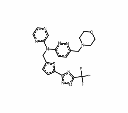 FC(F)(F)c1nc(-c2ccc(CN(c3cnccn3)c3ccc(CN4CCOCC4)nn3)s2)no1